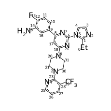 CCc1nccn1-c1nc(-c2ccc(F)c(N)c2)cc(N2CCN(c3ncccc3C(F)(F)F)CC2)n1